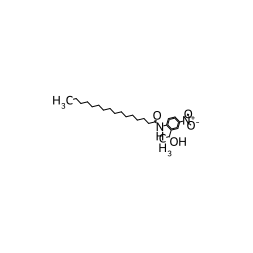 CCCCCCCCCCCCCCCC(=O)Nc1ccc([N+](=O)[O-])cc1C(C)O